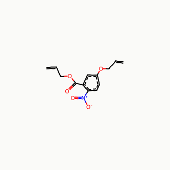 C=CCOC(=O)c1cc(OCC=C)ccc1[N+](=O)[O-]